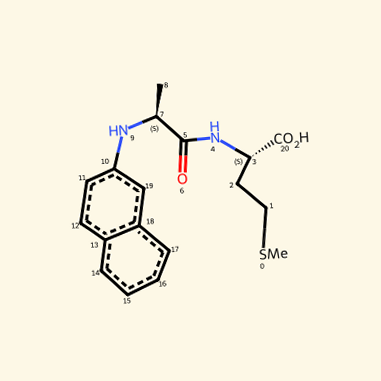 CSCC[C@H](NC(=O)[C@H](C)Nc1ccc2ccccc2c1)C(=O)O